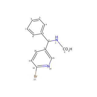 O=C(O)NC(c1ccccc1)c1ccc(Br)nc1